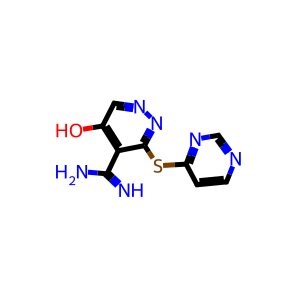 N=C(N)c1c(O)cnnc1Sc1ccncn1